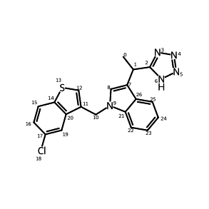 CC(c1nnn[nH]1)c1cn(Cc2csc3ccc(Cl)cc23)c2ccccc12